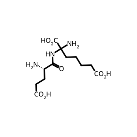 N[C@@H](CCC(=O)O)C(=O)NC(N)(CCCCC(=O)O)C(=O)O